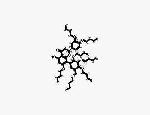 CCCCOCC1CC(c2c(OCCCC)cc(O)c3c2O[C@@H](c2ccc(OCCCC)c(OCCCC)c2)CC3=O)C(OCCCC)C(OCCCC)C1OCCCC